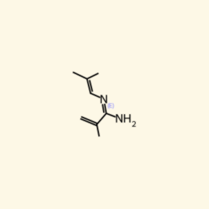 C=C(C)/C(N)=N\C=C(C)C